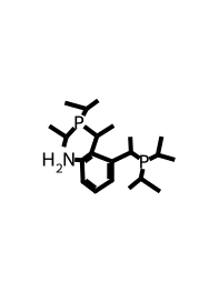 CC(C)P(C(C)C)C(C)c1cccc(N)c1C(C)P(C(C)C)C(C)C